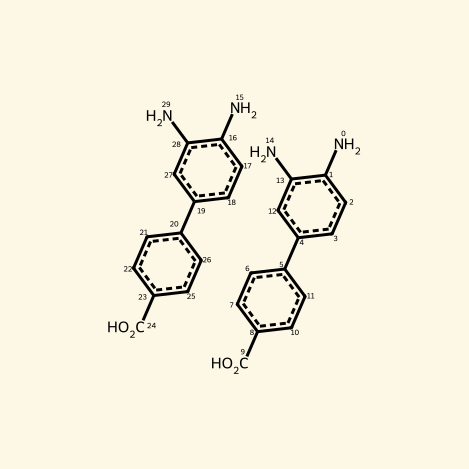 Nc1ccc(-c2ccc(C(=O)O)cc2)cc1N.Nc1ccc(-c2ccc(C(=O)O)cc2)cc1N